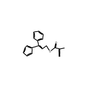 C=C(C)C(=O)OCC=C(c1ccccc1)c1ccccc1